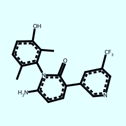 Cc1ccc(O)c(C)c1-n1c(N)ccc(-c2cncc(C(F)(F)F)c2)c1=O